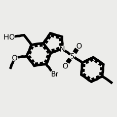 COc1cc(Br)c2c(ccn2S(=O)(=O)c2ccc(C)cc2)c1CO